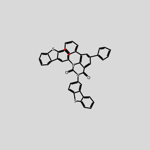 O=c1c2cc(-c3ccccc3)cc(-c3ccccc3)c2n(-c2ccc3sc4ccccc4c3c2)c(=O)n1-c1ccc2sc3ccccc3c2c1